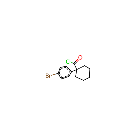 O=C(Cl)C1(c2ccc(Br)cc2)CCCCC1